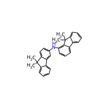 CC1(C)c2ccccc2-c2cc(Nc3cccc4c3C(C)(C)c3ccccc3-4)ccc21